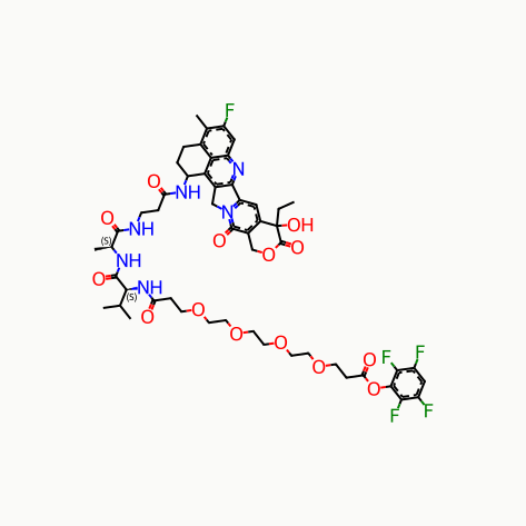 CCC1(O)C(=O)OCc2c1cc1n(c2=O)Cc2c-1nc1cc(F)c(C)c3c1c2C(NC(=O)CCNC(=O)[C@H](C)NC(=O)[C@@H](NC(=O)CCOCCOCCOCCOCCC(=O)Oc1c(F)c(F)cc(F)c1F)C(C)C)CC3